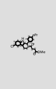 CCCc1ccc(C2c3[nH]c4ccc(Cl)cc4c3CCN2C(=O)CCC(=O)OC)cc1